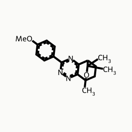 COc1ccc(-c2nnc3c(n2)C2CCC3(C)OC2(C)C)cc1